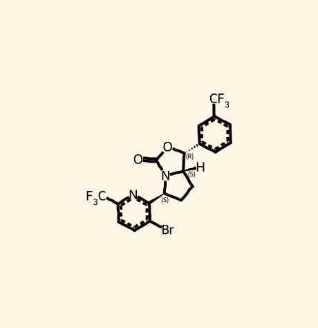 O=C1O[C@H](c2cccc(C(F)(F)F)c2)[C@@H]2CC[C@@H](c3nc(C(F)(F)F)ccc3Br)N12